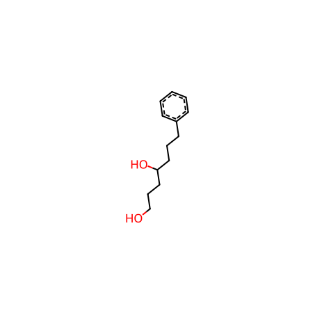 OCCCC(O)CCCc1ccccc1